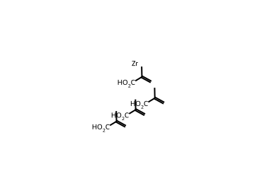 C=C(C)C(=O)O.C=C(C)C(=O)O.C=C(C)C(=O)O.C=C(C)C(=O)O.[Zr]